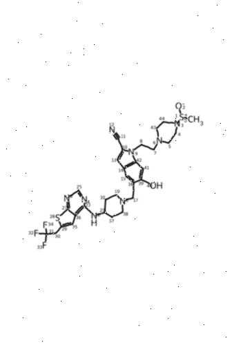 C[S+]([O-])N1CCN(CCn2c(C#N)cc3cc(CN4CCC(Nc5ncnc6sc(CC(F)(F)F)cc56)CC4)c(O)cc32)CC1